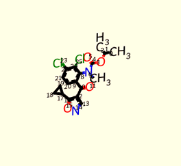 CC(C)OC(=O)N(C)c1c(C(=O)c2cnoc2C2CC2)ccc(Cl)c1Cl